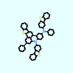 c1ccc(-c2cccc(N(c3ccc4sc5ccccc5c4c3)c3ccc(N(c4ccccc4)c4ccc5sc6ccccc6c5c4)cc3-c3ccc4sc5ccccc5c4c3)c2)cc1